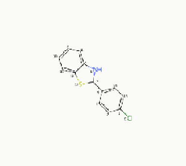 Clc1ccc(C2Nc3ccccc3S2)cc1